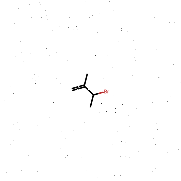 [CH2]C(=C)C(C)Br